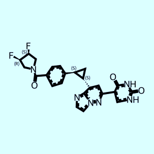 O=C(c1ccc([C@H]2C[C@@H]2c2cc(-c3c[nH]c(=O)[nH]c3=O)nn3ccnc23)cc1)N1C[C@@H](F)[C@@H](F)C1